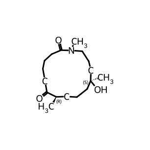 C[C@@H]1CCC[C@](C)(O)CCCN(C)C(=O)CCCCC1=O